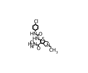 CCN1Cc2sc(NC(=O)Nc3ccc(Cl)cc3)c(C(N)=O)c2C1.Cl